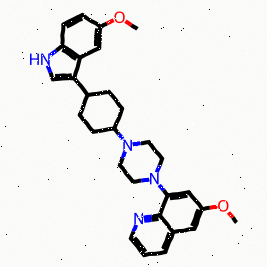 COc1cc(N2CCN(C3CCC(c4c[nH]c5ccc(OC)cc45)CC3)CC2)c2ncccc2c1